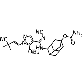 CC(C)COc1c(C(=NC#N)NC2C3CC4CC2CC(OC(N)=O)(C4)C3)cnn1C=CC(C)(C)C#N